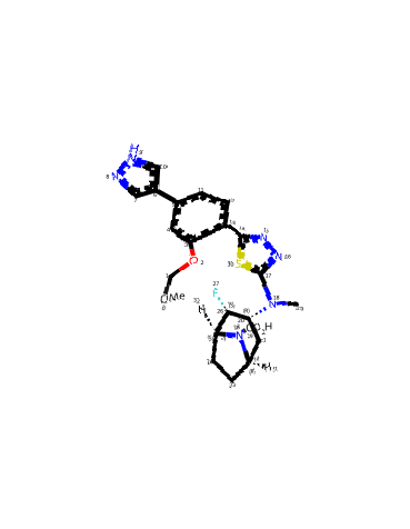 COCOc1cc(-c2cn[nH]c2)ccc1-c1nnc(N(C)[C@@H]2C[C@H]3CC[C@@H]([C@@H]2F)N3C(=O)O)s1